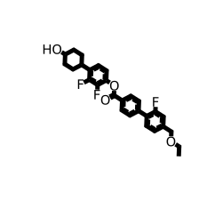 CCOCc1ccc(-c2ccc(C(=O)Oc3ccc(C4CCC(O)CC4)c(F)c3F)cc2)c(F)c1